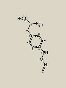 C=NOBc1ccc(CC(N)C(=O)O)cc1